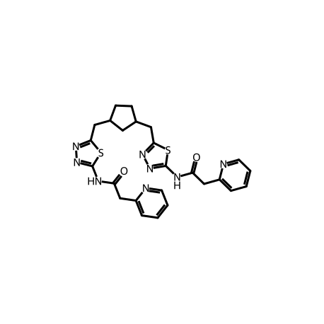 O=C(Cc1ccccn1)Nc1nnc(CC2CCC(Cc3nnc(NC(=O)Cc4ccccn4)s3)C2)s1